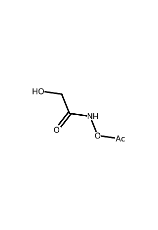 CC(=O)ONC(=O)CO